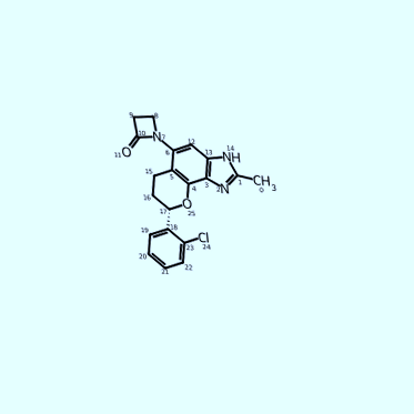 Cc1nc2c3c(c(N4CCC4=O)cc2[nH]1)CC[C@@H](c1ccccc1Cl)O3